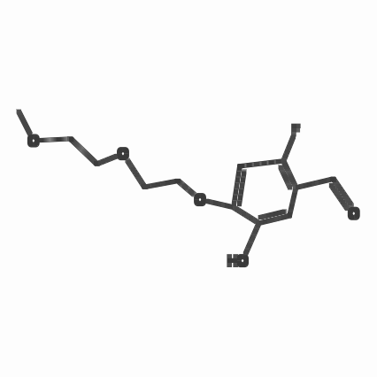 COCCOCCOc1cc(F)c(C=O)cc1O